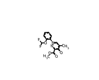 COC(=O)c1nn(-c2ccccc2OC(F)F)cc(C)c1=O